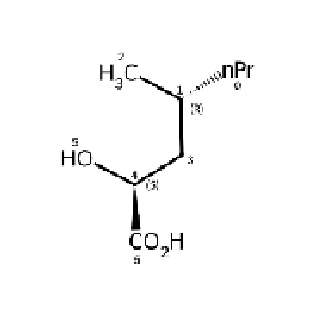 CCC[C@@H](C)C[C@H](O)C(=O)O